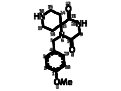 COc1ccc(CN2C(=O)CNC(=O)C23CCNCC3)cc1